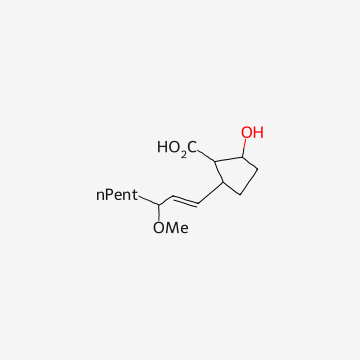 CCCCCC(C=CC1CCC(O)C1C(=O)O)OC